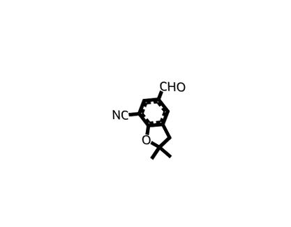 CC1(C)Cc2cc(C=O)cc(C#N)c2O1